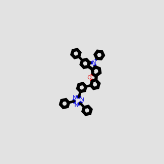 c1ccc(-c2ccc3c4c5oc6c(-c7cccc(-c8nc(-c9ccccc9)nc(-c9ccccc9)n8)c7)cccc6c5ccc4n(-c4ccccc4)c3c2)cc1